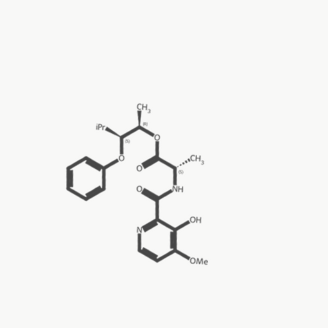 COc1ccnc(C(=O)N[C@@H](C)C(=O)O[C@H](C)[C@@H](Oc2ccccc2)C(C)C)c1O